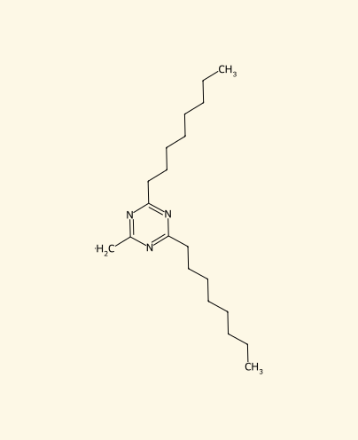 [CH2]c1nc(CCCCCCCC)nc(CCCCCCCC)n1